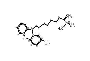 C=C(CCCCCCCN1c2ccccc2Sc2ccc(C(F)(F)F)cc21)N(C)C